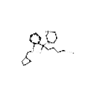 COCCCCC(O)(c1ccccc1OCC1CCC1)[C@@H]1CCCNC1